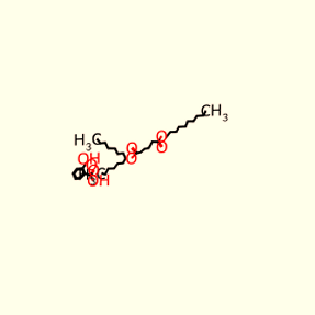 CCCCCCCCCCOC(=O)CCCCC(=O)OC(CCCCCC)CCCCCCC.O=C(O)c1ccccc1C(=O)O